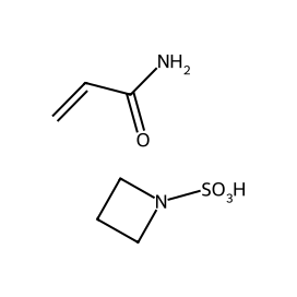 C=CC(N)=O.O=S(=O)(O)N1CCC1